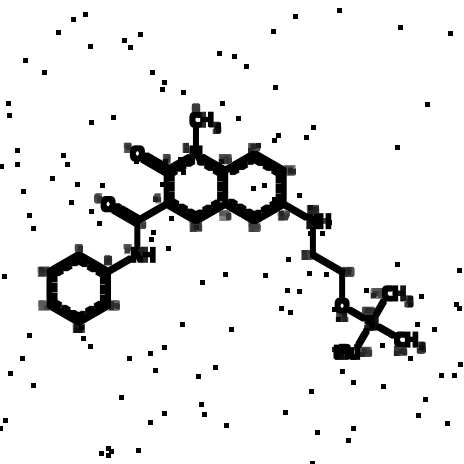 Cn1c(=O)c(C(=O)Nc2ccccc2)cc2cc(NCCO[Si](C)(C)C(C)(C)C)ccc21